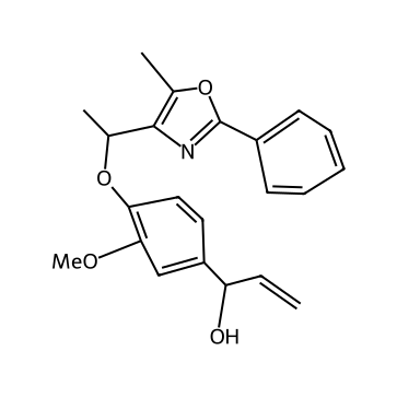 C=CC(O)c1ccc(OC(C)c2nc(-c3ccccc3)oc2C)c(OC)c1